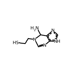 NC1c2nc[nH]c2N=CN1CCS